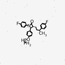 C[C@@H](CC[C@@H]1C(=O)N(c2ccc(F)cc2)C1c1ccc(OPP)cc1)c1ccc(F)cc1